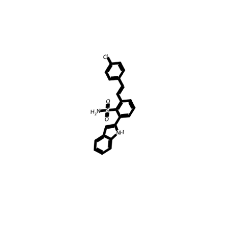 NS(=O)(=O)c1c(C=Cc2ccc(Cl)cc2)cccc1-c1cc2ccccc2[nH]1